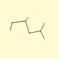 O=C(O)CC(CC(O)O)C(=O)O